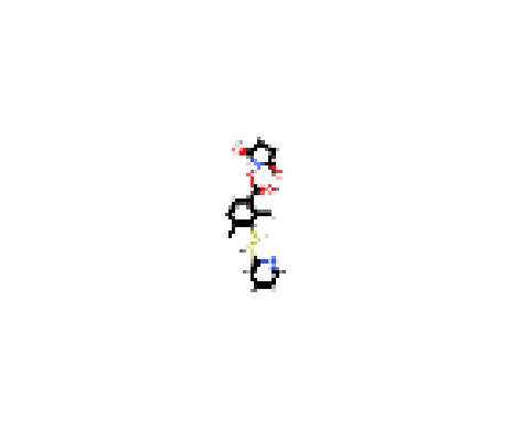 Cc1ccc(C(=O)ON2C(=O)CCC2=O)c(C)c1SSc1ccccn1